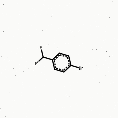 FC(F)c1[c]cc(Br)cc1